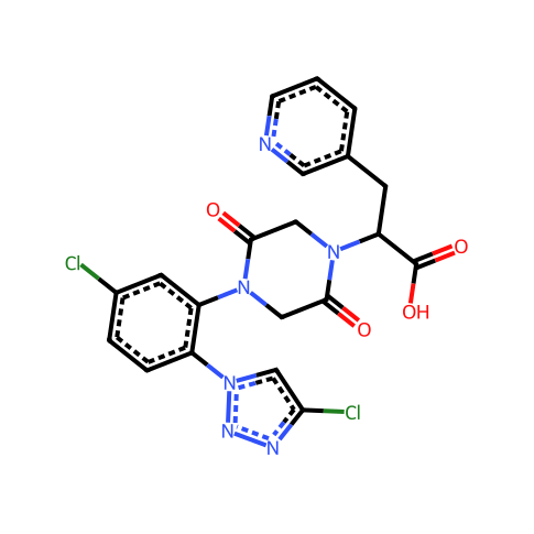 O=C(O)C(Cc1cccnc1)N1CC(=O)N(c2cc(Cl)ccc2-n2cc(Cl)nn2)CC1=O